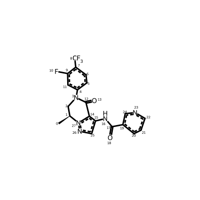 C[C@H]1CN(c2ccc(C(F)(F)F)c(F)c2)C(=O)c2c(NC(=O)c3cccnc3)cnn21